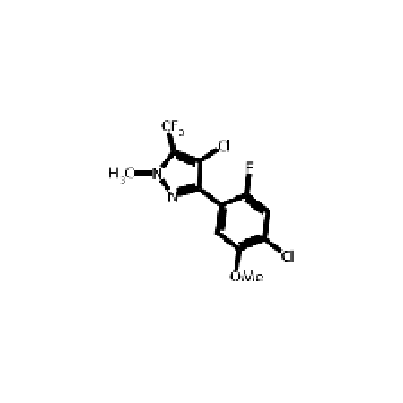 COc1cc(-c2nn(C)c(C(F)(F)F)c2Cl)c(F)cc1Cl